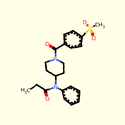 CCC(=O)N(c1ccccc1)C1CCN(C(=O)c2ccc(S(C)(=O)=O)cc2)CC1